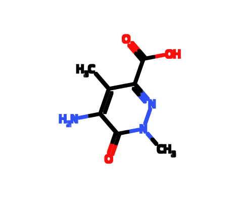 Cc1c(C(=O)O)nn(C)c(=O)c1N